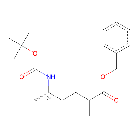 CC(CC[C@H](C)NC(=O)OC(C)(C)C)C(=O)OCc1ccccc1